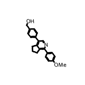 COc1ccc(-c2ncc(-c3ccc(CO)cc3)c3c2CCC3)cc1